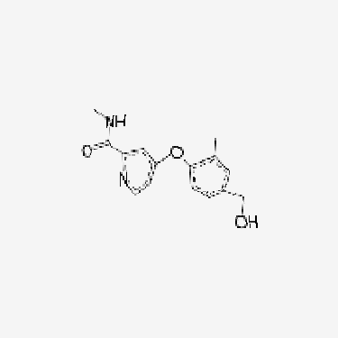 CNC(=O)c1cc(Oc2ccc(CO)cc2C)ccn1